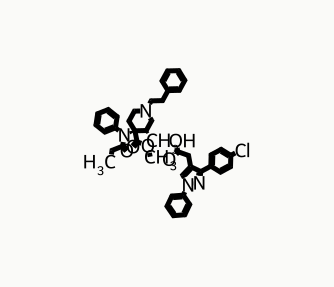 CCC(=O)N(c1ccccc1)[C@@]1(C(=O)OC)CCN(CCc2ccccc2)C[C@H]1C.O=C(O)Cc1cn(-c2ccccc2)nc1-c1ccc(Cl)cc1